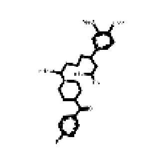 CCCCCCC(CCCC(CC(C#N)CCCC)c1ccc(OC)c(OC)c1)N1CCC(C(=O)c2ccc(F)cc2)CC1